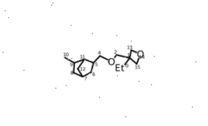 CCC1(COCC2CC3CC(C)C2C3)COC1